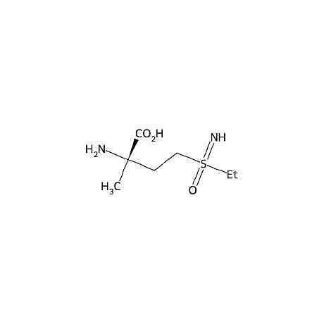 CCS(=N)(=O)CC[C@](C)(N)C(=O)O